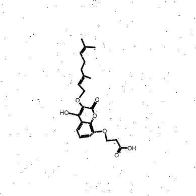 CC(C)=CCC/C(C)=C/COc1c(O)c2cccc(OCCC(=O)O)c2oc1=O